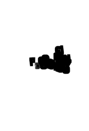 O=c1ccn(-c2ccc(S(=O)(=O)C(F)(F)F)cc2)nc1-c1ccnn1-c1cccc(Cl)c1